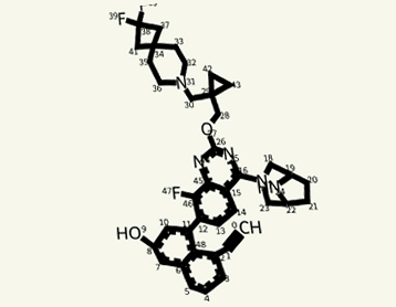 C#Cc1cccc2cc(O)cc(-c3ccc4c(N5CC6CCC(C5)N6)nc(OCC5(CN6CCC7(CC6)CC(F)(F)C7)CC5)nc4c3F)c12